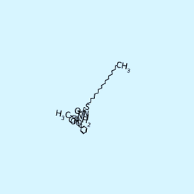 CCCCCCCCCCCCCCCCCCSC[C@@H](N)C(=O)N[C@@H](CC(C)C)C(=O)OCc1ccccc1